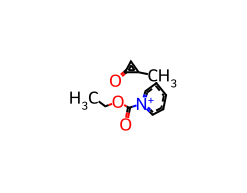 CCOC(=O)[n+]1ccccc1.Cc1cc1=O